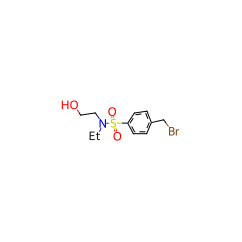 CCN(CCO)S(=O)(=O)c1ccc(CBr)cc1